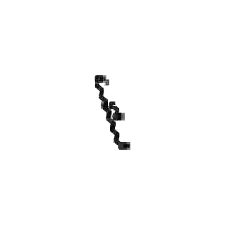 CCCCCC/C=C/C=C/C=C/O.CCO